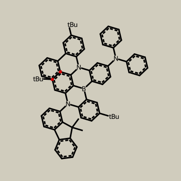 CC(C)(C)c1ccc2c(c1)B1c3ccc(N(c4ccccc4)c4ccccc4)cc3N(c3ccc(C(C)(C)C)cc3-c3ccccc3)c3cc(C(C)(C)C)cc(c31)N2c1cccc2c1C(C)(C)c1ccccc1-2